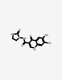 O=C(NN1CCNC1=O)c1c[nH]c2cc(O)c(O)cc2c1=O